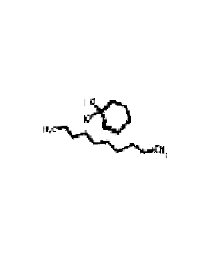 CCCCCCCCCC.OC1(O)CCCCC1